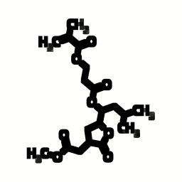 C=C(C)C(=O)OCCC(=O)OC(CC(C)C)C1CC(CC(=O)OC)C(=O)O1